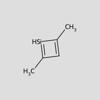 CC1=CC(C)=[SiH]1